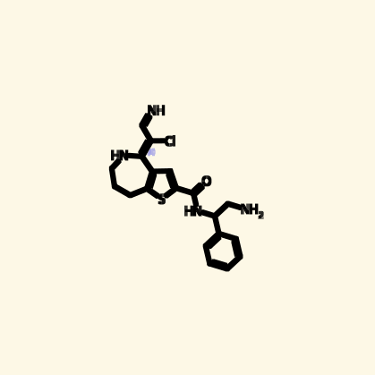 N=C/C(Cl)=C1\NCCCc2sc(C(=O)NC(CN)c3ccccc3)cc21